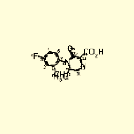 Cc1cc(F)ccc1-n1c(C)cnc(C(=O)O)c1=O